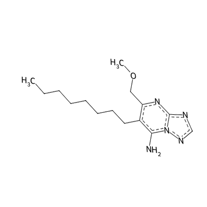 CCCCCCCCc1c(COC)nc2ncnn2c1N